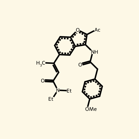 CCN(CC)C(=O)C=C(C)c1ccc2oc(C(C)=O)c(NC(=O)Cc3ccc(OC)cc3)c2c1